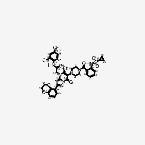 CCc1c(N2CCN(C(=O)c3ccccc3NS(=O)(=O)C3CC3)CC2)c(=O)n2nc(-c3cccc4c3OCCO4)nc2n1CC(=O)Nc1ccc(C(F)(F)F)cc1Cl